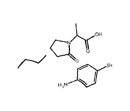 CC(C(=O)O)N1CCCC1=O.CCCC.Nc1ccc(S)cc1